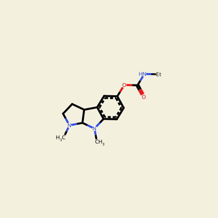 CCNC(=O)Oc1ccc2c(c1)C1CCN(C)C1N2C